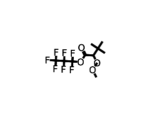 COOC(C(=O)OC(F)(F)C(F)(F)C(F)(F)F)C(C)(C)C